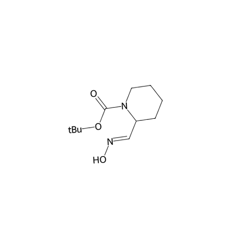 CC(C)(C)OC(=O)N1CCCCC1C=NO